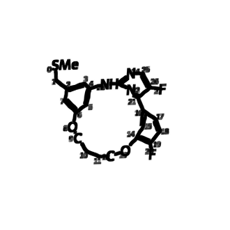 CSCc1cc2cc(c1)OCCCCOc1cc(ccc1F)-c1nc(ncc1F)N2